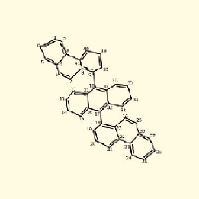 c1ccc2c(c1)ccc1c(-c3c4ccccc4c(-c4cccc5c4ccc4ccccc45)c4ccccc34)cccc12